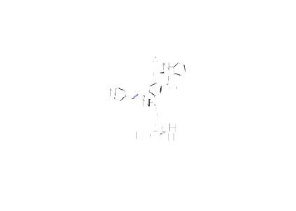 CC(=O)N1C(=O)C(C(=O)c2ccc3c(/C=C/c4ccncc4)nn(COCC[Si](C)(C)C)c3c2)c2ccccc21